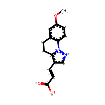 COc1ccc2c(c1)CCc1c(/C=C/C(=O)O)cnn1-2